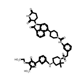 CC1(C)C[C@@H](Nc2cccc(-c3sc(C(=O)O)c(OCC(=O)O)c3Cl)c2)CCN1S(=O)(=O)Cc1cccc(NC(=O)N2CCC(c3ccc4c5c(cccc35)C(=O)N4C3CCC(=O)NC3=O)CC2)c1